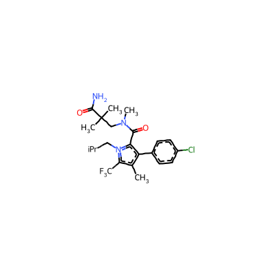 Cc1c(-c2ccc(Cl)cc2)c(C(=O)N(C)CC(C)(C)C(N)=O)n(CC(C)C)c1C(F)(F)F